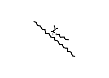 CCCCCCCCCCCCCCCCCCCC.CCCCCNC(C)N(C)C